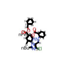 CCCCCOC(=O)c1ccccc1NCc1c(Cl)nc(CCCC)n1-c1ccc(C(=O)OCc2ccccc2)cc1C